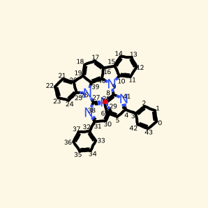 c1ccc(-c2cccc(-n3c4ccccc4c4ccc5c6ccccc6n(-c6nccc(-c7ccccc7)n6)c5c43)n2)cc1